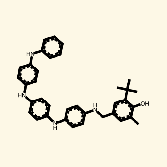 Cc1cc(CNc2ccc(Nc3ccc(Nc4ccc(Nc5ccccc5)cc4)cc3)cc2)cc(C(C)(C)C)c1O